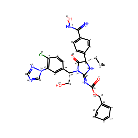 CC(C)(C)C[C@]1(c2ccc(C(=N)NO)cc2)NC(=NC(=O)OCc2ccccc2)N([C@H](CO)c2ccc(Cl)c(-n3cncn3)c2)C1=O